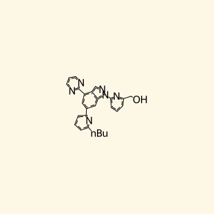 CCCCc1cccc(-c2cc(-c3ncccn3)c3cnn(-c4cccc(CO)n4)c3c2)n1